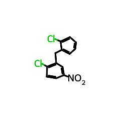 O=[N+]([O-])c1ccc(Cl)c(Cc2ccccc2Cl)c1